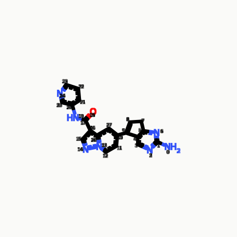 Nc1ncc2c(n1)CC=C2c1ccn2ncc(C(=O)Nc3cccnc3)c2c1